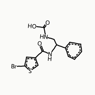 O=C(O)NCC(NC(=O)c1csc(Br)c1)c1ccccc1